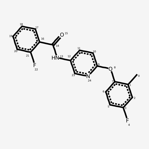 Cc1cc(F)ccc1Oc1ccc(NC(=O)c2ccccc2F)cn1